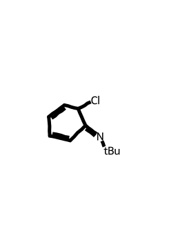 CC(C)(C)N=C1C=CC=CC1Cl